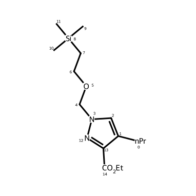 CCCc1cn(COCC[Si](C)(C)C)nc1C(=O)OCC